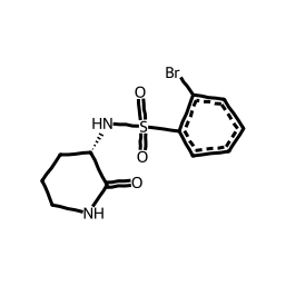 O=C1NCCC[C@@H]1NS(=O)(=O)c1ccccc1Br